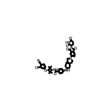 CC1(C)[C@H](NC(=O)c2ccc(NC3CCC4(CC3)CCN(c3ccc5c(c3)C(=O)N(C3CCC(=O)NC3=O)C5=O)CC4)cc2)C(C)(C)[C@H]1Oc1ccc(C#N)c(Cl)c1